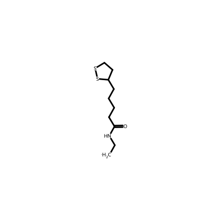 [CH2]CNC(=O)CCCCC1CCSS1